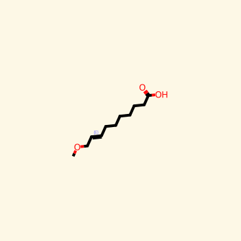 COC/C=C/CCCCCCC(=O)O